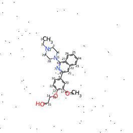 CCN1CCN(c2nc(-c3ccc(OCCO)c(OC)c3)cc3ccccc23)CC1